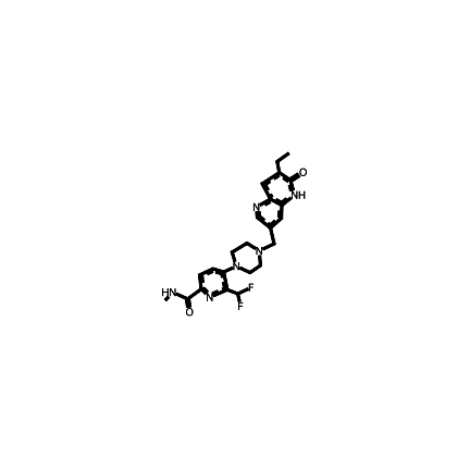 CCc1cc2ncc(CN3CCN(c4ccc(C(=O)NC)nc4C(F)F)CC3)cc2[nH]c1=O